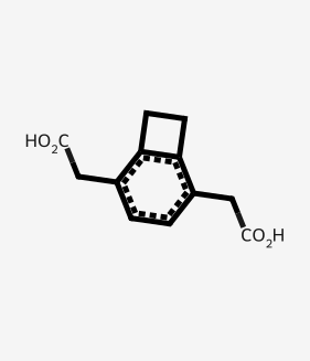 O=C(O)Cc1ccc(CC(=O)O)c2c1CC2